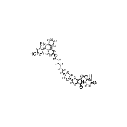 CCC(=C(c1ccc(O)cc1)c1ccc(OCCCCCCCN2CCN(c3ccc4c(c3)C(=O)N(C3CCC(=O)NC3=O)C4=O)CC2)cc1)c1ccccc1